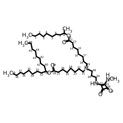 CCCCCCCCC(C)OC(=O)CCCCCCCN(CCCCCCCC(=O)OC(CCCCCCCC)CCCCCCCC)CCCNc1c(NC)c(=O)c1=O